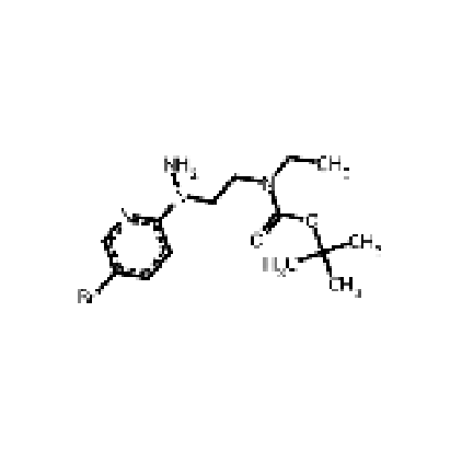 CCN(CCN(N)c1ccc(Br)cn1)C(=O)OC(C)(C)C